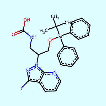 CC(C)(C)[Si](OCC(CNC(=O)O)n1nc(I)c2cccnc21)(c1ccccc1)c1ccccc1